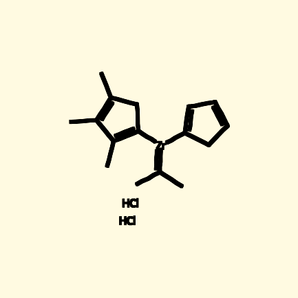 CC1=C(C)C(C)=[C]([Zr]([C]2=CC=CC2)=[C](C)C)C1.Cl.Cl